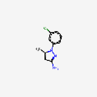 CC1CC(N)=NN1c1cccc(Cl)c1